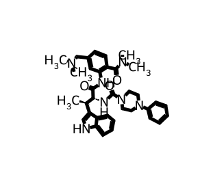 C[C@H](c1c[nH]c2ccccc12)[C@@H](NC(=O)N1CCN(c2ccccc2)CC1)C(=O)Nc1cc(CN(C)C)ccc1C(=O)N(C)C